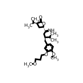 COCCCOc1cc(C[C@@H](CC(=N)[C@@H]2C[C@@H](C(C)C)C(=O)O2)C(C)C)ccc1OC